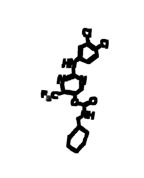 O=C(NCC1CCCCC1)Oc1cnc(Nc2ccc(Cl)c(Cl)c2)nc1C(F)(F)F